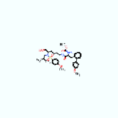 COC(=O)NC(Cc1ccccc1-c1ccc(OC)cc1)C(=O)NCCCCC(CO)N(CC(C)C)S(=O)(=O)c1ccc(OC)cc1